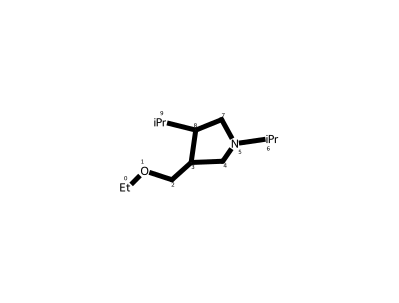 CCOCC1CN(C(C)C)CC1C(C)C